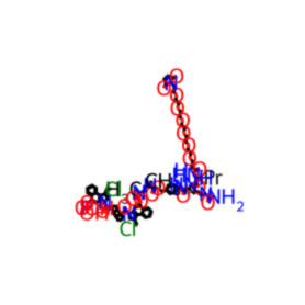 CC(C)C(NC(=O)CCOCCOCCOCCOCCOCCOCCN1C(=O)C=CC1=O)C(=O)N[C@@H](CCCNC(N)=O)C(=O)Nc1ccc(COC(=O)N(C)CCN(C)C(=O)Oc2cc3c(c4ccccc24)C(CCl)CN3C(=O)C23C4C5C2C2C3C4C52C(=O)N2CC(CCl)c3c2cc(OP(=O)(O)O)c2ccccc32)cc1